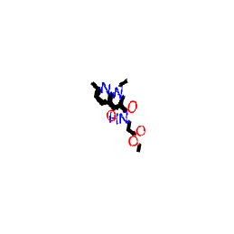 CCOC(=O)CCNC(=O)c1cn(CC)c2nc(C)ccc2c1=O